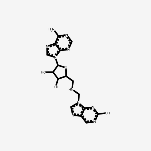 Nc1ncnc2c1ncn2C1OC(CNCn2cnc3cnc(O)nc32)C(O)C1O